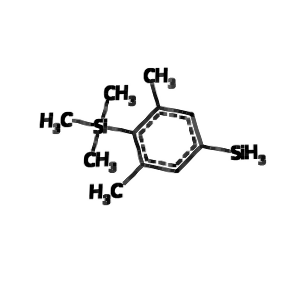 Cc1cc([SiH3])cc(C)c1[Si](C)(C)C